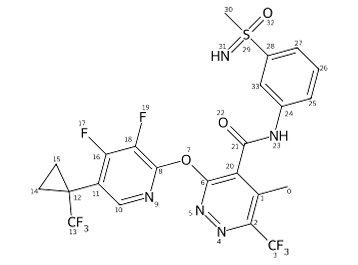 Cc1c(C(F)(F)F)nnc(Oc2ncc(C3(C(F)(F)F)CC3)c(F)c2F)c1C(=O)Nc1cccc(S(C)(=N)=O)c1